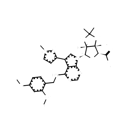 COc1ccc(CNc2ncnc3c2c(-c2ccn(C)n2)cn3[C@@H]2O[C@H](C(=O)O)[C@H]3OC(C)(C)O[C@H]32)c(OC)c1